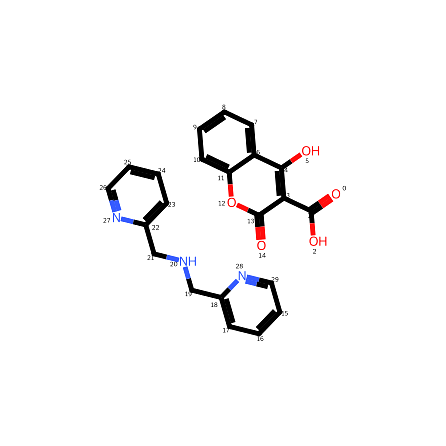 O=C(O)c1c(O)c2ccccc2oc1=O.c1ccc(CNCc2ccccn2)nc1